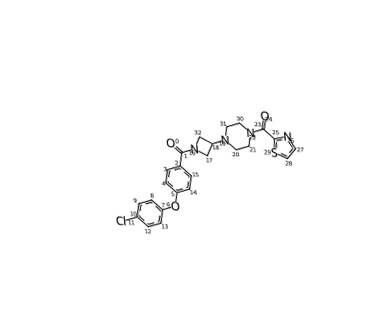 O=C(c1ccc(Oc2ccc(Cl)cc2)cc1)N1CC(N2CCN(C(=O)c3nccs3)CC2)C1